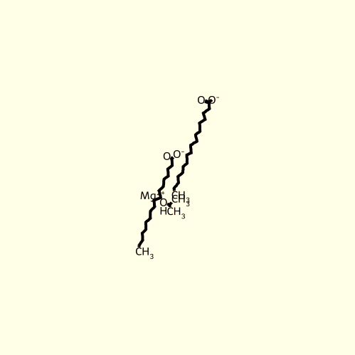 CC(C)O.CCCCCCCCCCCCCCCCCC(=O)[O-].CCCCCCCCCCCCCCCCCC(=O)[O-].[Mg+2]